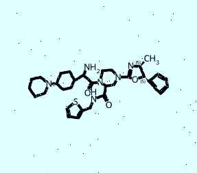 C[C@@H]1N=C(N2CCN(C(=O)C(N)C3CCC(N4CCCCC4)CC3)C(C(=O)NCc3cccs3)C2)O[C@H]1c1ccccc1